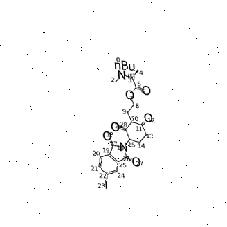 CCCCN(C)[C@@H](C)C(=O)OCCC1C(=O)CCC(N2C(=O)c3ccc(I)cc3C2=O)C1=O